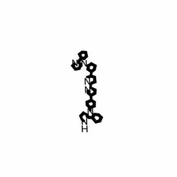 C1=Cc2c(c3ccccc3n2-c2ccc(-c3ccc(-c4ccc(-c5cccc(-n6c7ccccc7c7ncccc76)c5)cn4)nc3)cc2)NC1